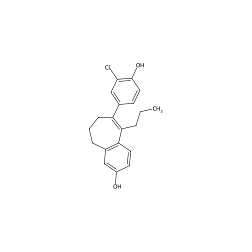 CCCC1=C(c2ccc(O)c(Cl)c2)CCCc2cc(O)ccc21